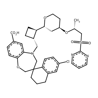 C[C@H](CS(=O)(=O)c1ncccn1)O[C@@H]1CCO[C@@H]([C@@H]2CC[C@H]2CN2CC3(CCCc4cc(Cl)ccc43)COc3ccc(C(=O)O)cc32)C1